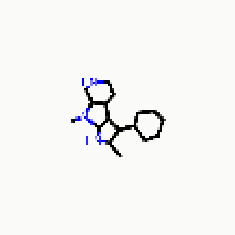 CC1NC2C(C3CCNCC3N2C)C1C1CCCCC1